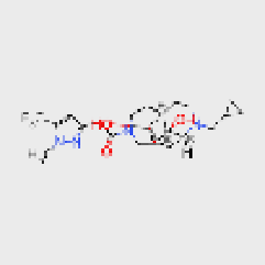 Cn1nc(CC(=O)N2CC[C@]34CCN(CC5CC5)[C@H](Cc5ccc(O)cc53)[C@]4(O)CC2)cc1C(F)(F)F